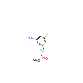 COC(=O)/C=C/c1cc(N)cc(F)c1